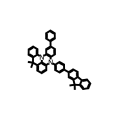 CC1(C)c2ccccc2-c2ccc(-c3ccc(N4c5ccc(-c6ccccc6)cc5N5c6ccccc6C(C)(C)c6cccc4c65)cc3)cc21